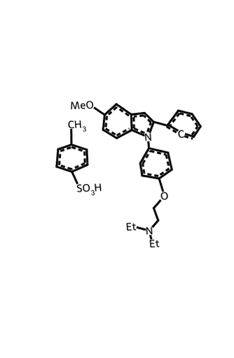 CCN(CC)CCOc1ccc(-n2c(-c3ccccc3)cc3cc(OC)ccc32)cc1.Cc1ccc(S(=O)(=O)O)cc1